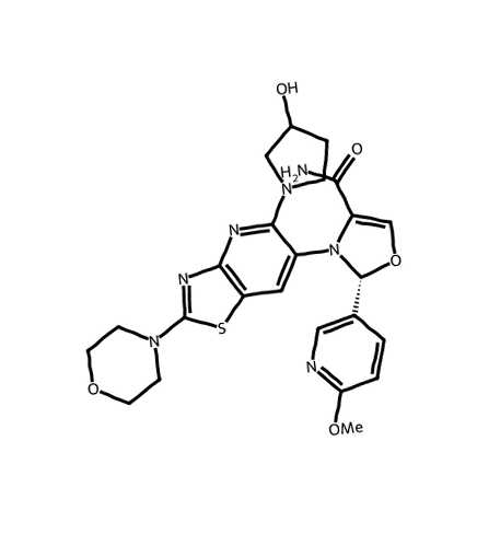 COc1ccc([C@H]2OC=C(C(N)=O)N2c2cc3sc(N4CCOCC4)nc3nc2N2CCC(O)C2)cn1